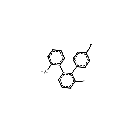 Cc1ccccc1-c1cc[c]c(F)c1-c1ccc(F)cc1